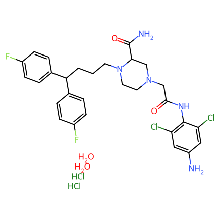 Cl.Cl.NC(=O)C1CN(CC(=O)Nc2c(Cl)cc(N)cc2Cl)CCN1CCCC(c1ccc(F)cc1)c1ccc(F)cc1.O.O